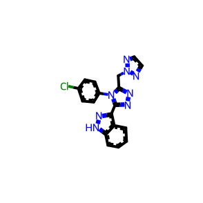 Clc1ccc(-n2c(Cn3nccn3)nnc2-c2n[nH]c3ccccc23)cc1